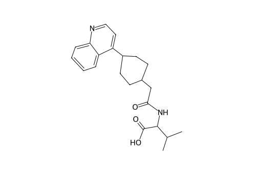 CC(C)C(NC(=O)CC1CCC(c2ccnc3ccccc23)CC1)C(=O)O